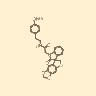 COc1ccc(CCNC(=O)CN2C(=O)C3(COc4cc5c(cc43)OCO5)c3ccccc32)cc1